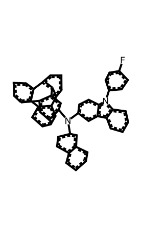 Fc1ccc(-n2c3ccccc3c3cc(N(c4ccc5c(c4)-c4c6cccc4-c4cccc-5c4-c4ccccc4-6)c4ccc5ccccc5c4)ccc32)cc1